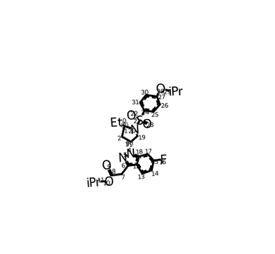 CC[C@@H]1C[C@@H](n2nc(CC(=O)OC(C)C)c3ccc(F)cc32)CN1S(=O)(=O)c1ccc(OC(C)C)cc1